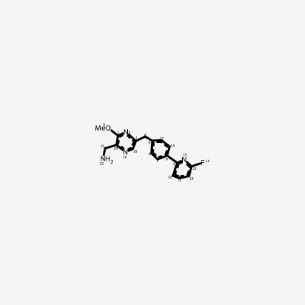 COc1nc(Cc2ccc(-c3cccc(F)n3)cc2)cnc1CN